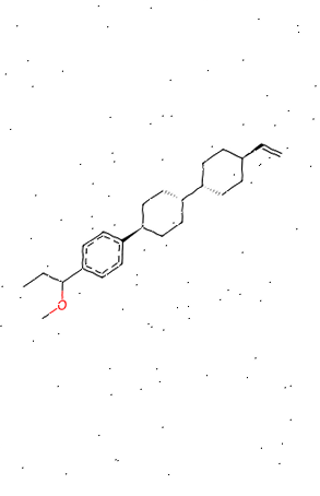 C=C[C@H]1CC[C@H]([C@H]2CC[C@H](c3ccc(C(CC)OC)cc3)CC2)CC1